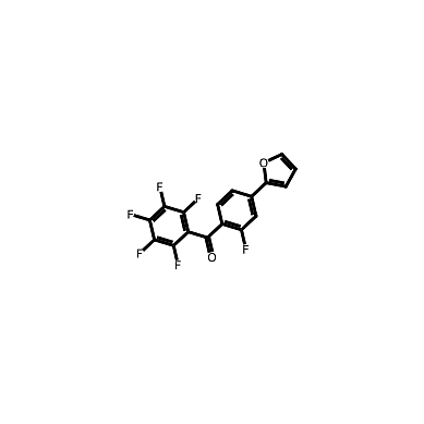 O=C(c1ccc(-c2ccco2)cc1F)c1c(F)c(F)c(F)c(F)c1F